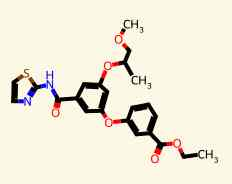 CCOC(=O)c1cccc(Oc2cc(OC(C)COC)cc(C(=O)Nc3nccs3)c2)c1